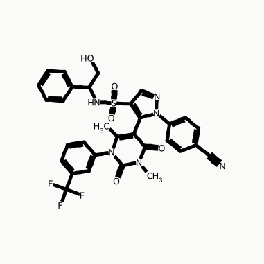 Cc1c(-c2c(S(=O)(=O)NC(CO)c3ccccc3)cnn2-c2ccc(C#N)cc2)c(=O)n(C)c(=O)n1-c1cccc(C(F)(F)F)c1